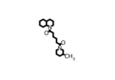 CC1CCCN(C(=O)CCCCC(=O)N2CCCC3CCCCC32)C1